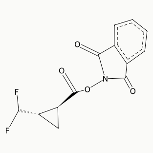 O=C(ON1C(=O)c2ccccc2C1=O)[C@H]1C[C@@H]1C(F)F